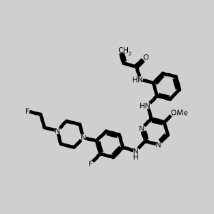 C=CC(=O)Nc1ccccc1Nc1nc(Nc2ccc(N3CCN(CCF)CC3)c(F)c2)ncc1OC